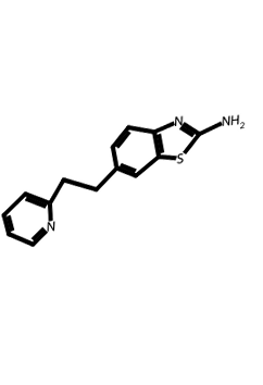 Nc1nc2ccc(CCc3ccccn3)cc2s1